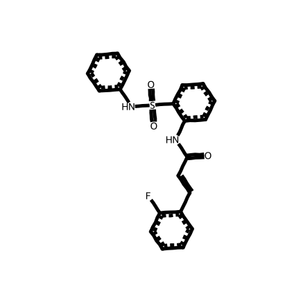 O=C(C=Cc1ccccc1F)Nc1ccccc1S(=O)(=O)Nc1ccccc1